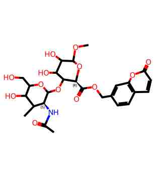 COC1O[C@@H](C(=O)OCc2ccc3ccc(=O)oc3c2)C(OC2OC(CO)C(O)C(C)[C@@H]2NC(C)=O)C(O)C1O